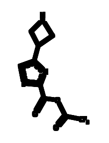 O=C(OC(=O)C(F)(F)F)c1nc(C2CNC2)cs1